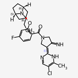 CCCN1[C@@H]2CC[C@H]1C[C@@H](Oc1cc(F)ccc1C(=O)N1CC(=N)/C(=C3/N=CC(Cl)=C(C)N3)C1)C2